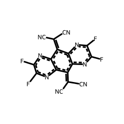 N#CC(C#N)=c1c2nc(F)c(F)nc2c(=C(C#N)C#N)c2nc(F)c(F)nc12